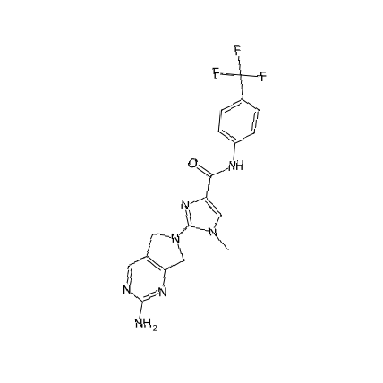 Cn1cc(C(=O)Nc2ccc(C(F)(F)F)cc2)nc1N1Cc2cnc(N)nc2C1